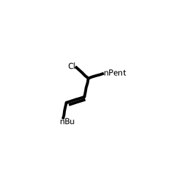 CCCC/C=C/C(Cl)CCCCC